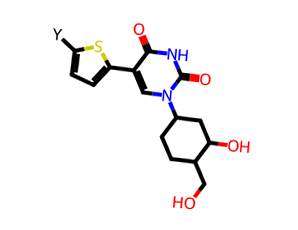 O=c1[nH]c(=O)n(C2CCC(CO)C(O)C2)cc1-c1cc[c]([Y])s1